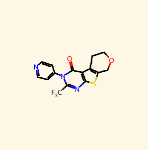 O=c1c2c3c(sc2nc(C(F)(F)F)n1-c1ccncc1)COCC3